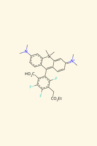 CCOC(=O)Cc1c(F)c(F)c(C(=O)O)c(C2=C3C=CC(=[N+](C)C)C=C3[Si](C)(C)c3cc(N(C)C)ccc32)c1F